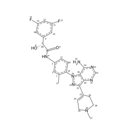 Cc1cc(NC(=O)[C@H](O)c2cc(F)cc(F)c2)ccc1-n1nc(C2=CCN(C)CC2)c2ncnc(N)c21